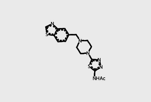 CC(=O)Nc1nnc(N2CCN(Cc3ccc4scnc4c3)CC2)s1